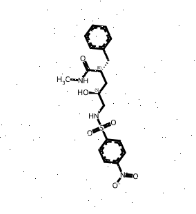 CNC(=O)[C@H](Cc1ccccc1)C[C@H](O)CNS(=O)(=O)c1ccc([N+](=O)[O-])cc1